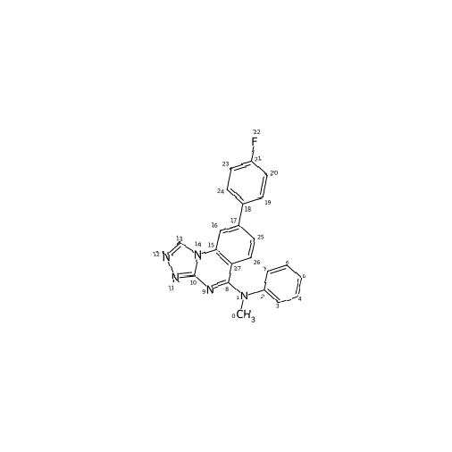 CN(c1ccccc1)c1nc2nncn2c2cc(-c3ccc(F)cc3)ccc12